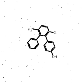 Nc1ccc(Cl)c(-c2ccc(O)cc2)c1-c1ccccc1